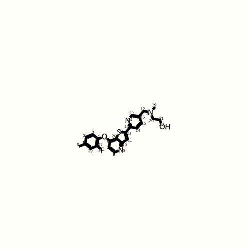 Cc1ccc(Oc2ccnc3cc(-c4ccc(CN(C)CCO)cn4)sc23)c(F)c1